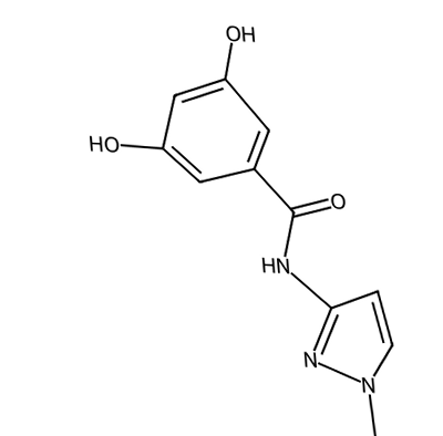 Cn1ccc(NC(=O)c2cc(O)cc(O)c2)n1